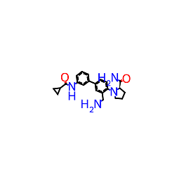 NCc1cc(-c2cccc(NC(=O)C3CC3)c2)ccc1N1CCC[C@@H]1C(N)=O